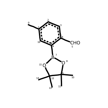 Cc1ccc(C=O)c(B2OC(C)(C)C(C)(C)O2)c1